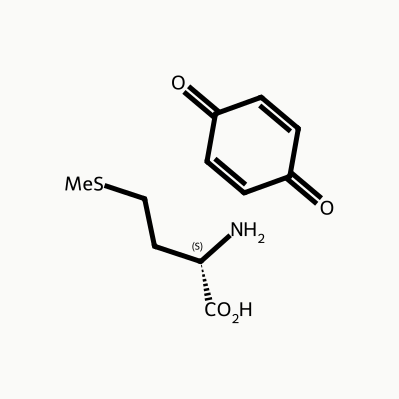 CSCC[C@H](N)C(=O)O.O=C1C=CC(=O)C=C1